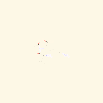 CC(=O)N(C(=O)[C@@H](N)C(C)C)[C@@H](CCCCN)C(=O)O